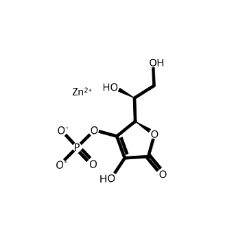 O=C1O[C@H]([C@@H](O)CO)C(OP(=O)([O-])[O-])=C1O.[Zn+2]